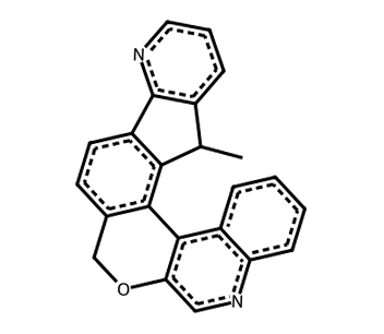 CC1c2cccnc2-c2ccc3c(c21)-c1c(cnc2ccccc12)OC3